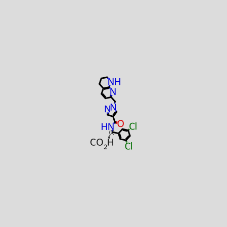 O=C(O)C[C@H](NC(=O)c1cnn(Cc2ccc3c(n2)NCCC3)c1)c1cc(Cl)cc(Cl)c1